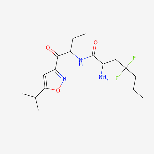 CCCC(F)(F)CC(N)C(=O)NC(CC)C(=O)c1cc(C(C)C)on1